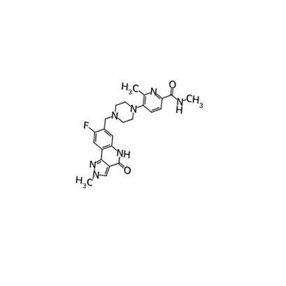 CNC(=O)c1ccc(N2CCN(Cc3cc4[nH]c(=O)c5cn(C)nc5c4cc3F)CC2)c(C)n1